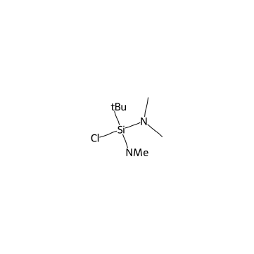 CN[Si](Cl)(N(C)C)C(C)(C)C